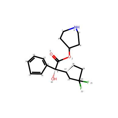 O=C(OC1CCNCC1)[C@](O)(c1ccccc1)[C@@H]1CCC(F)(F)C1